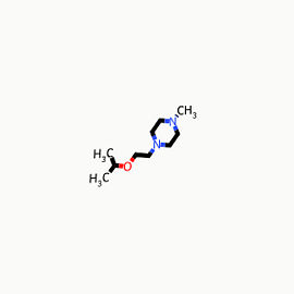 CC(C)OCCN1CCN(C)CC1